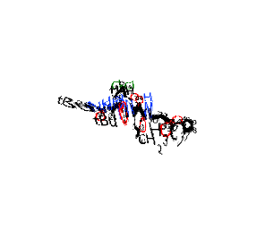 C=CCC[C@H](NC(=O)[C@@H]1[C@@H]2[C@H](CN1C(=O)[C@@H](NC(=O)NC(C)(C)C)C(C)(C)C)C2(Cl)Cl)C(=O)C(=O)NCCC(=O)OC1(C)CCCC1